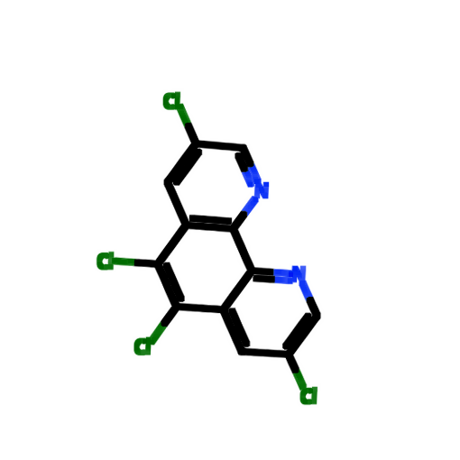 Clc1cnc2c(c1)c(Cl)c(Cl)c1cc(Cl)cnc12